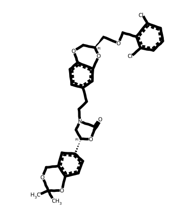 CC1(C)OCc2cc([C@@H]3CN(CCc4ccc5c(c4)O[C@H](COCc4c(Cl)cccc4Cl)CO5)C(=O)O3)ccc2O1